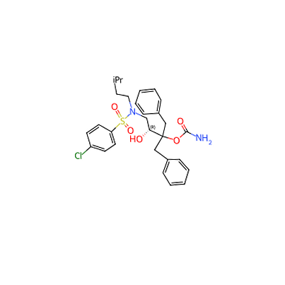 CC(C)CCN(C[C@@H](O)C(Cc1ccccc1)(Cc1ccccc1)OC(N)=O)S(=O)(=O)c1ccc(Cl)cc1